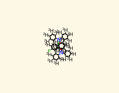 [2H]c1c([2H])c([2H])c(-n2c3c([2H])c([2H])c([2H])c([2H])c3c3c([2H])c([2H])c([2H])c([2H])c32)c(-c2c([2H])c(F)c(-c3c([2H])c([2H])c([2H])c([2H])c3-n3c4c([2H])c([2H])c([2H])c([2H])c4c4c([2H])c([2H])c([2H])c([2H])c43)c([2H])c2F)c1[2H]